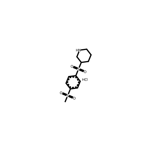 CS(=O)(=O)c1ccc(S(=O)(=O)C2CCCNC2)cc1.Cl